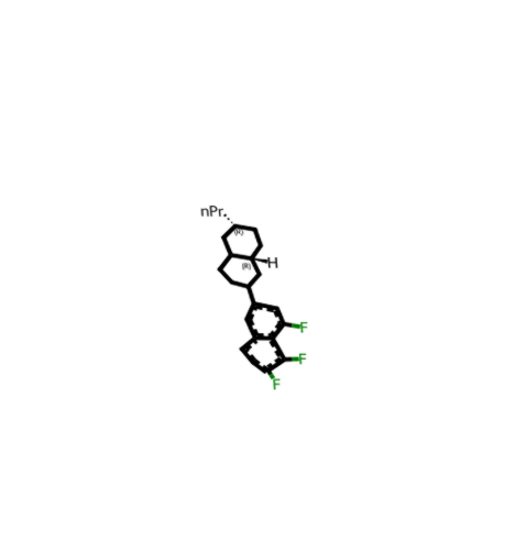 CCC[C@@H]1CC[C@@H]2CC(c3cc(F)c4c(F)c(F)ccc4c3)CCC2C1